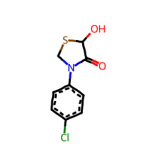 O=C1C(O)SCN1c1ccc(Cl)cc1